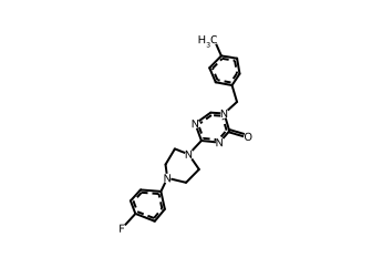 Cc1ccc(Cn2cnc(N3CCN(c4ccc(F)cc4)CC3)nc2=O)cc1